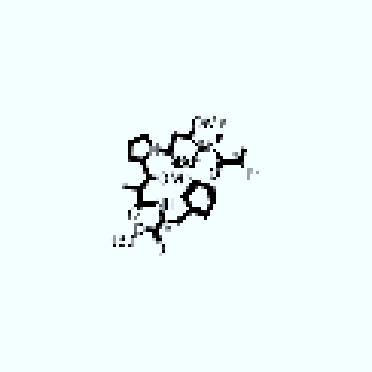 CC[C@H](C)[C@@H](C(CC(=O)N1CCCC1C(OC)C(C)C(=O)N[C@@H](Cc1ccccc1)C(=O)OC(C)(C)C)OC)N(C)C(=O)[C@@H](C)C(C)C